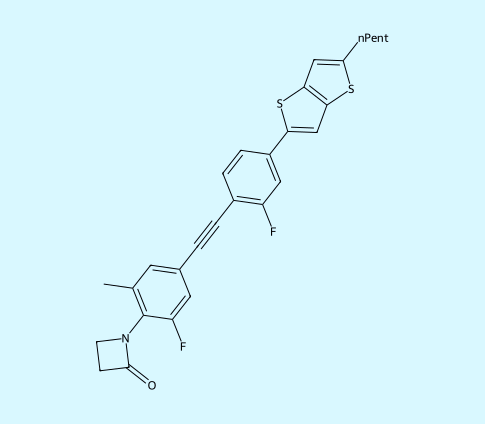 CCCCCc1cc2sc(-c3ccc(C#Cc4cc(C)c(N5CCC5=O)c(F)c4)c(F)c3)cc2s1